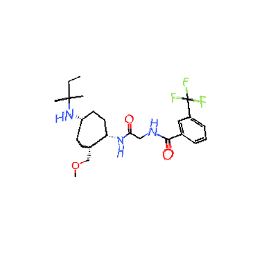 CCC(C)(C)N[C@@H]1CC[C@H](NC(=O)CNC(=O)c2cccc(C(F)(F)F)c2)[C@H](COC)C1